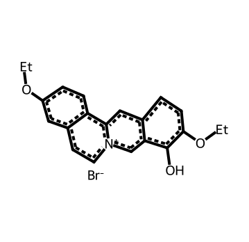 CCOc1ccc2c(cc[n+]3cc4c(O)c(OCC)ccc4cc23)c1.[Br-]